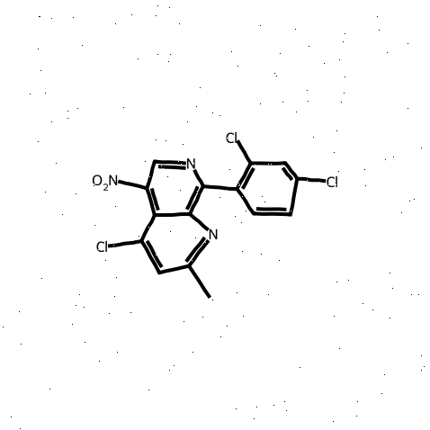 Cc1cc(Cl)c2c([N+](=O)[O-])cnc(-c3ccc(Cl)cc3Cl)c2n1